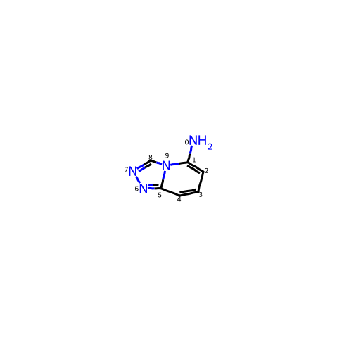 Nc1cccc2nncn12